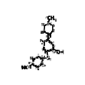 CN1CCN(c2ncc(Sc3ccc(C#N)cc3)c(O)n2)CC1